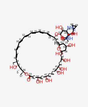 C[C@@H]1[C@H](O)[C@@H](C)/C=C/C=C/C=C/C=C/C=C/C=C/C=C/[C@H](O[C@@H]2O[C@H](C)[C@@H](O)[C@H](N)[C@@H]2O)C[C@@H]2O[C@](O)(C[C@@H](O)C[C@@H](O)[C@H](O)CC[C@@H](O)C[C@@H](O)CC(=O)O[C@H]1C)C[C@H](O)[C@H]2C(=O)NCCC1CC1